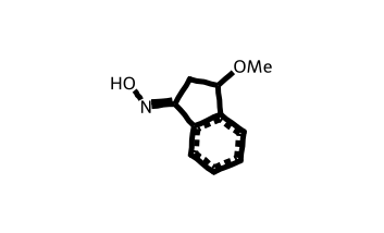 COC1CC(=NO)c2ccccc21